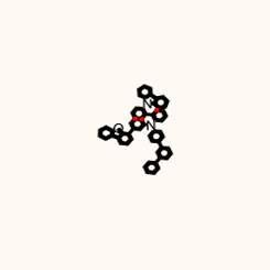 c1ccc(-c2cccc(-c3ccc(N(c4cccc(-c5cccc6c5oc5ccccc56)c4)c4ccccc4-c4ccccc4-n4c5ccccc5c5ccccc54)cc3)c2)cc1